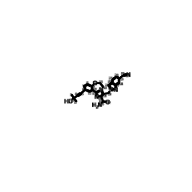 CC(C)(O)C#Cc1ccc2c(c1)-c1nc(C(N)=O)c(Cn3cc4ccc(C#N)cc4n3)n1CCO2